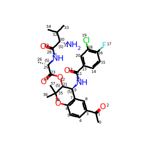 CC(=O)c1ccc2c(c1)[C@H](NC(=O)c1ccc(F)c(Cl)c1)[C@H](OC(=O)[C@H](C)NC(=O)[C@@H](N)C(C)C)C(C)(C)O2